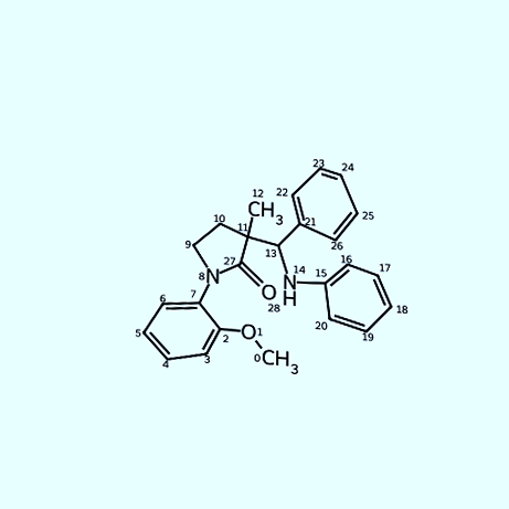 COc1ccccc1N1CCC(C)(C(Nc2ccccc2)c2ccccc2)C1=O